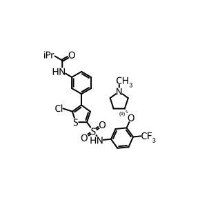 CC(C)C(=O)Nc1cccc(-c2cc(S(=O)(=O)Nc3ccc(C(F)(F)F)c(O[C@@H]4CCN(C)C4)c3)sc2Cl)c1